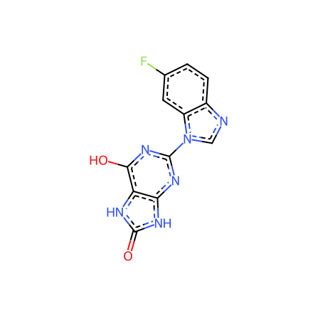 O=c1[nH]c2nc(-n3cnc4ccc(F)cc43)nc(O)c2[nH]1